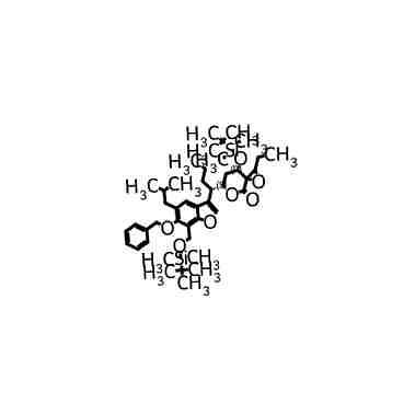 CCCC(c1coc2c(CO[Si](C)(C)C(C)(C)C)c(OCc3ccccc3)c(CC(C)C)cc12)[C@@H]1C[C@@H](O[Si](C)(C)C(C)(C)C)C2(OC2CC)C(=O)O1